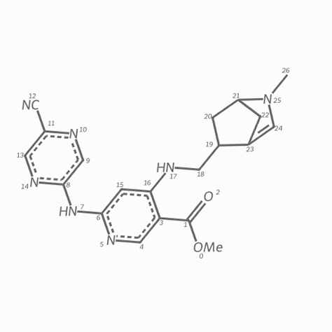 COC(=O)c1cnc(Nc2cnc(C#N)cn2)cc1NCC1CC2CC1=CN2C